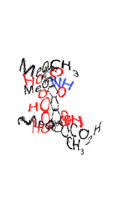 CO[C@@H]1[C@@H](O)[C@@H](OC)[C@@H](NC2=CC(=O)c3c(cc4c(c3O)C(=O)[C@]3(OC)[C@H](O)Cc5cc(C)c(C(=O)O)c(O)c5[C@]3(O)C4=O)C2=O)O[C@H]1C